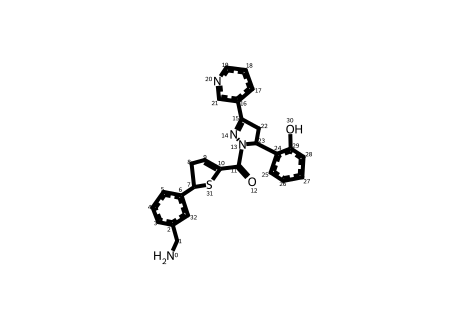 NCc1cccc(C2CC=C(C(=O)N3N=C(c4cccnc4)CC3c3ccccc3O)S2)c1